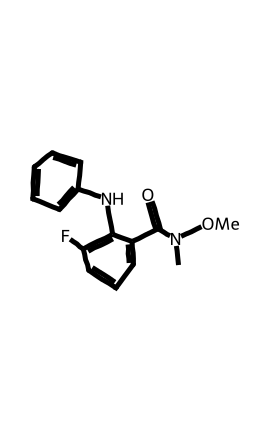 CON(C)C(=O)c1cccc(F)c1Nc1ccccc1